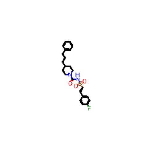 O=C(NS(=O)(=O)/C=C/c1ccc(F)cc1)N1CCC(CCCc2ccccc2)CC1